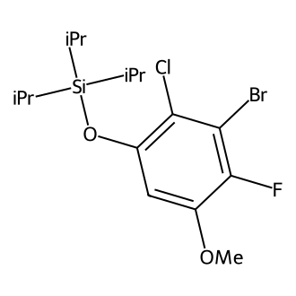 COc1cc(O[Si](C(C)C)(C(C)C)C(C)C)c(Cl)c(Br)c1F